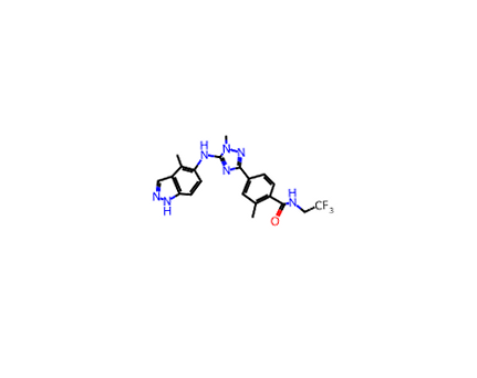 Cc1cc(-c2nc(Nc3ccc4[nH]ncc4c3C)n(C)n2)ccc1C(=O)NCC(F)(F)F